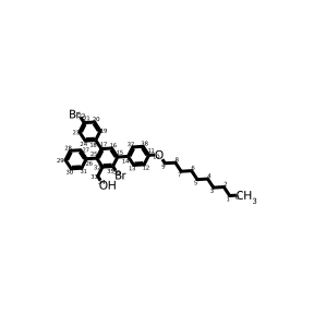 CCCCCCCCCCOc1ccc(-c2cc(-c3ccc(Br)cc3)c(-c3ccccc3)c(CO)c2Br)cc1